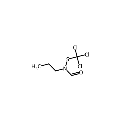 CCCN(C=O)SC(Cl)(Cl)Cl